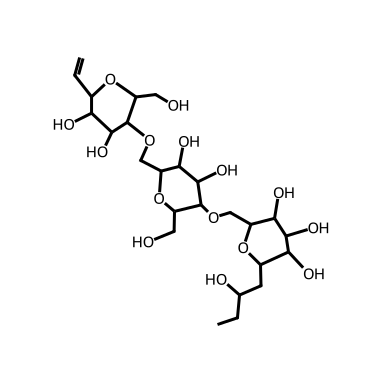 C=CC1OC(CO)C(OCC2OC(CO)C(OCC3OC(CC(O)CC)C(O)C(O)C3O)C(O)C2O)C(O)C1O